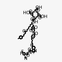 Cc1ccc(CCCC(=O)CCCCCCC(CNC(=O)CN2CCN(CC(=O)O)CCN(CC(=O)O)CCN(CC(=O)O)CC2)SC2CC(=O)N(CC(C)C(=O)N3CCN(CCCCOc4ccc5nccc(C(=O)NCC(=O)N6CC(F)(F)C[C@@H]6C#N)c5c4)CC3)C2=O)cc1